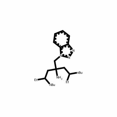 CCCCC(CC)CC(N)(CC(CC)CCCC)Cn1nnc2ccccc21